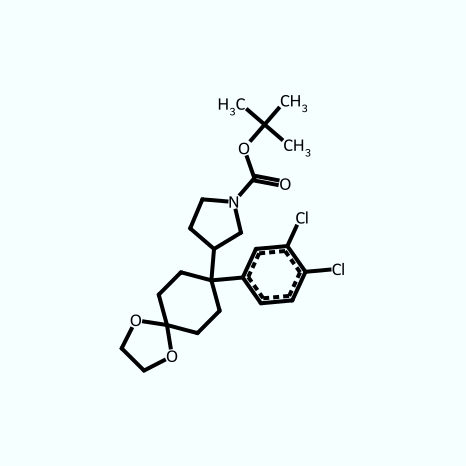 CC(C)(C)OC(=O)N1CCC(C2(c3ccc(Cl)c(Cl)c3)CCC3(CC2)OCCO3)C1